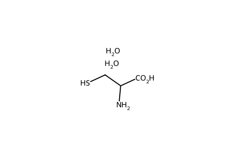 NC(CS)C(=O)O.O.O